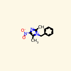 Cc1nc([N+](=O)[O-])c(C)n1Cc1ccccc1